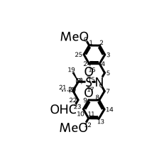 COc1ccc(CN(Cc2ccc(OC)cc2)S(=O)(=O)[C@H](C)[C@@H](C)CC=O)cc1